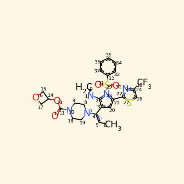 C=Nc1c(/C(=C\C)N2CCN(C(=O)OC3COC3)CC2)cc(-c2nc(C(F)(F)F)cs2)n1S(=O)(=O)c1ccccc1